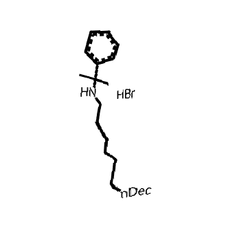 Br.CCCCCCCCCCCCCCCCNC(C)(C)c1ccccc1